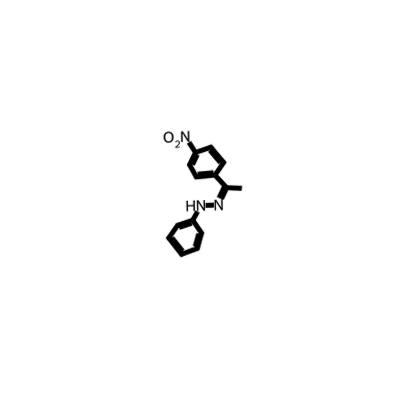 CC(=NNc1ccccc1)c1ccc([N+](=O)[O-])cc1